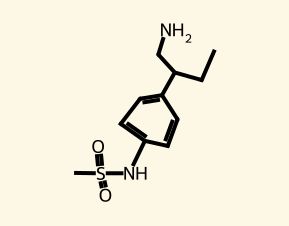 CCC(CN)c1ccc(NS(C)(=O)=O)cc1